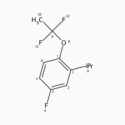 CC(C)c1cc(F)ccc1OC(C)(F)F